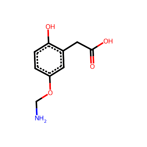 NCOc1ccc(O)c(CC(=O)O)c1